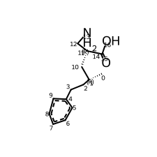 C[C@H](CCc1ccccc1)C[C@H](CN)C(=O)O